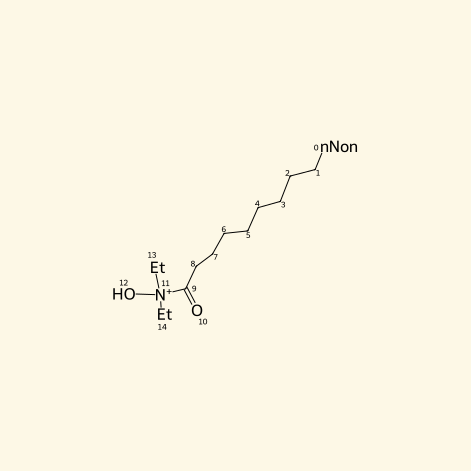 CCCCCCCCCCCCCCCCCC(=O)[N+](O)(CC)CC